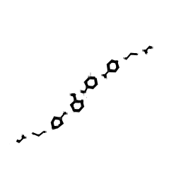 C=CC(=O)OCCCOc1ccc(C(=O)Oc2ccc3nc(-c4ccc(OC(=O)c5ccc(OCCCOC(=O)C=C)cc5)c(Br)c4)oc(=O)c3c2)cc1